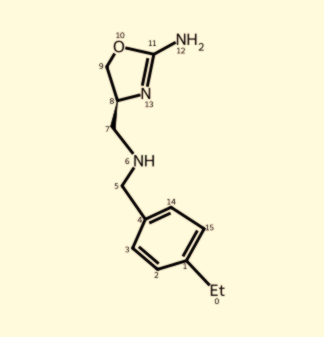 CCc1ccc(CNC[C@H]2COC(N)=N2)cc1